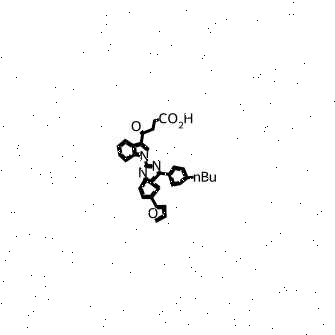 CCCCc1ccc(-c2nc(-n3cc(C(=O)CCC(=O)O)c4ccccc43)nc3ccc(-c4ccco4)cc23)cc1